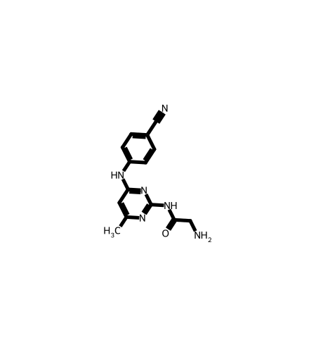 Cc1cc(Nc2ccc(C#N)cc2)nc(NC(=O)CN)n1